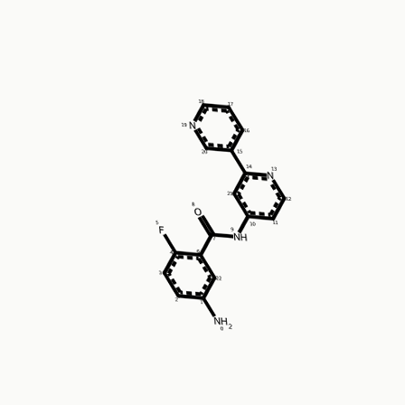 Nc1ccc(F)c(C(=O)Nc2ccnc(-c3cccnc3)c2)c1